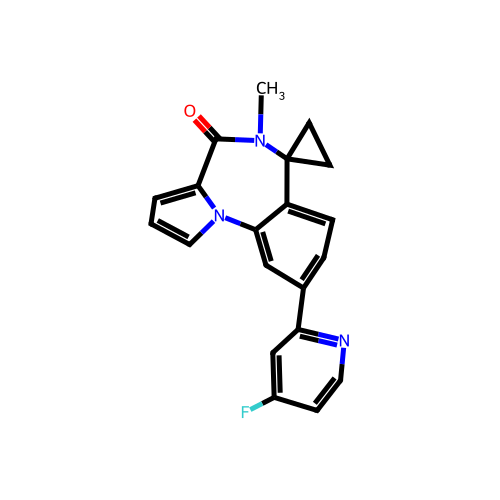 CN1C(=O)c2cccn2-c2cc(-c3cc(F)ccn3)ccc2C12CC2